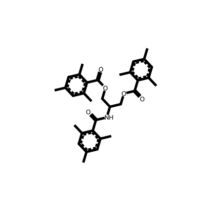 Cc1cc(C)c(C(=O)NC(COC(=O)c2c(C)cc(C)cc2C)COC(=O)c2c(C)cc(C)cc2C)c(C)c1